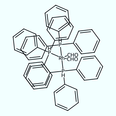 O=[CH][Rh]([CH]=O)([PH](c1ccccc1)(c1ccccc1)c1ccccc1)([PH](c1ccccc1)(c1ccccc1)c1ccccc1)[PH](c1ccccc1)(c1ccccc1)c1ccccc1